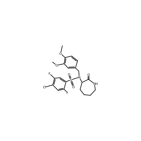 COc1ccc(CN(C2CCCCNC2=O)S(=O)(=O)c2cc(F)c(Cl)cc2F)cc1OC